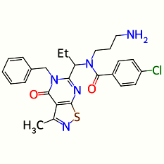 CCC(c1nc2snc(C)c2c(=O)n1Cc1ccccc1)N(CCCN)C(=O)c1ccc(Cl)cc1